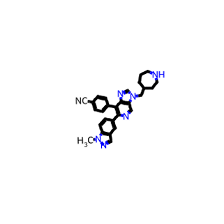 Cn1ncc2cc(-c3ncc4c(ncn4CC4CCCNCC4)c3-c3ccc(C#N)cc3)ccc21